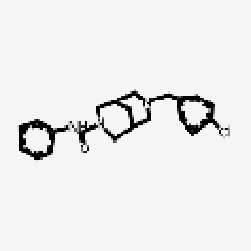 O=C(Nc1ccccc1)N1CC2CC(CN(Cc3ccc(Cl)cc3)C2)C1